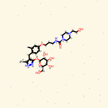 Cc1cc(OCCCNC(=O)N2CCN(CCO)CC2)ccc1Cc1c(O[C@@H]2O[C@H](CO)[C@@H](O)[C@H](O)[C@H]2O)n[nH]c1C(C)C